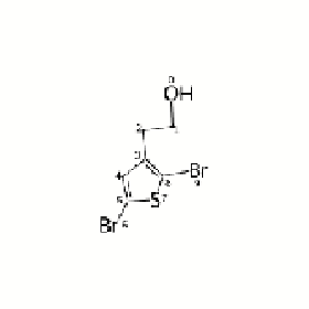 OCCc1cc(Br)sc1Br